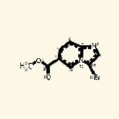 COC(=O)c1ccc2ncc(Br)n2c1